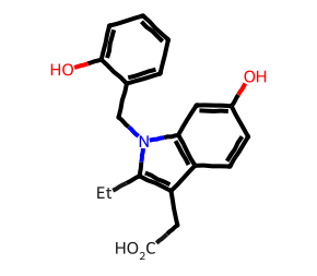 CCc1c(CC(=O)O)c2ccc(O)cc2n1Cc1ccccc1O